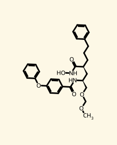 COCOC[C@H](C[C@H](CCCc1ccccc1)C(=O)NO)NC(=O)c1ccc(Oc2ccccc2)cc1